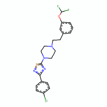 FC(F)Oc1cccc(CCN2CCN(c3nc(-c4ccc(Cl)cc4)ns3)CC2)c1